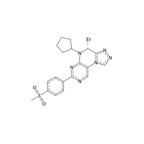 CC[C@@H]1c2nncn2-c2cnc(-c3ccc(S(C)(=O)=O)cc3)nc2N1C1CCCC1